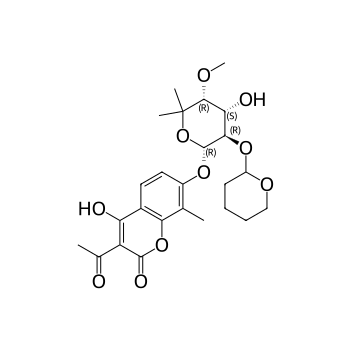 CO[C@@H]1[C@H](O)[C@@H](OC2CCCCO2)[C@H](Oc2ccc3c(O)c(C(C)=O)c(=O)oc3c2C)OC1(C)C